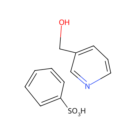 O=S(=O)(O)c1ccccc1.OCc1cccnc1